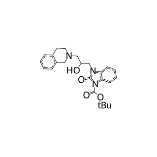 CC(C)(C)OC(=O)n1c(=O)n(CC(O)CN2CCc3ccccc3C2)c2ccccc21